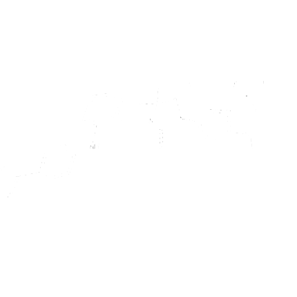 CSc1ccc(N2C(=O)N(Cc3ccccc3Nc3ccc(C(=O)O)cc3)C(C)(C)C2=O)cc1C(F)(F)F